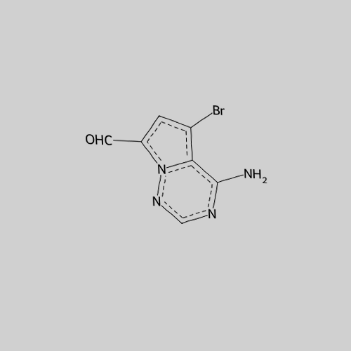 Nc1ncnn2c(C=O)cc(Br)c12